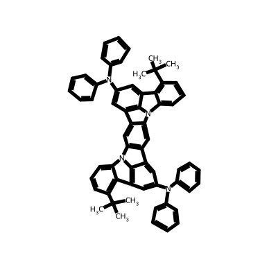 CC(C)(C)c1cccc2c1c1cc(N(c3ccccc3)c3ccccc3)cc3c4cc5c(cc4n2c31)c1cc(N(c2ccccc2)c2ccccc2)cc2c3c(C(C)(C)C)cccc3n5c12